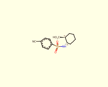 N#Cc1ccc(S(=O)(=O)N[C@H]2CCCC[C@@H]2C(=O)O)cc1